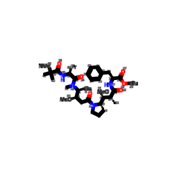 CCC(C)[C@@H]([C@@H](CC(=O)N1CCC[C@H]1[C@H](OC)[C@@H](C)C(=O)N[C@@H](Cc1ccccc1)C(=O)OC(C)(C)C)OC)N(C)C(=O)[C@@H](NC(=O)C(C)(C)NC)C(C)C